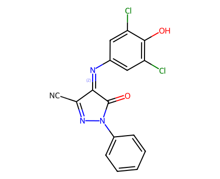 N#CC1=NN(c2ccccc2)C(=O)/C1=N\c1cc(Cl)c(O)c(Cl)c1